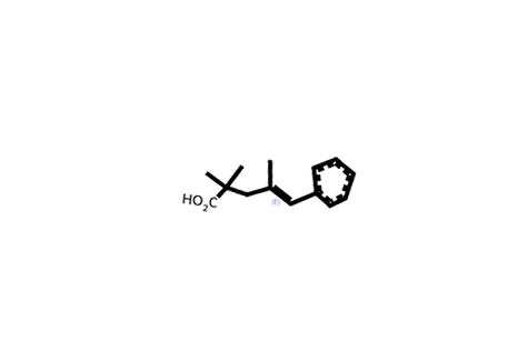 C/C(=C\c1ccccc1)CC(C)(C)C(=O)O